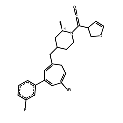 CC(C)C1=CCC(CC2CCN(C(=C=O)C3C=COC3)[C@H](C)C2)=CC(c2cccc(F)c2)=C1